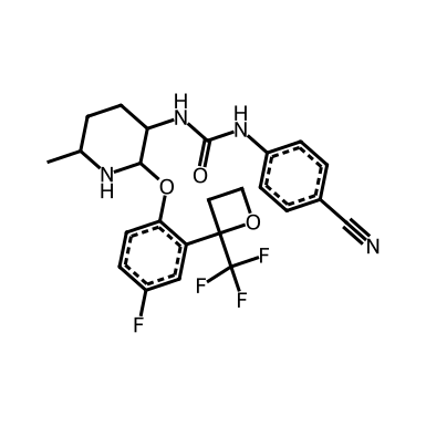 CC1CCC(NC(=O)Nc2ccc(C#N)cc2)C(Oc2ccc(F)cc2C2(C(F)(F)F)CCO2)N1